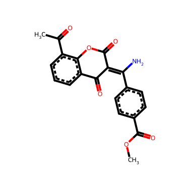 COC(=O)c1ccc(/C(N)=C2/C(=O)Oc3c(C(C)=O)cccc3C2=O)cc1